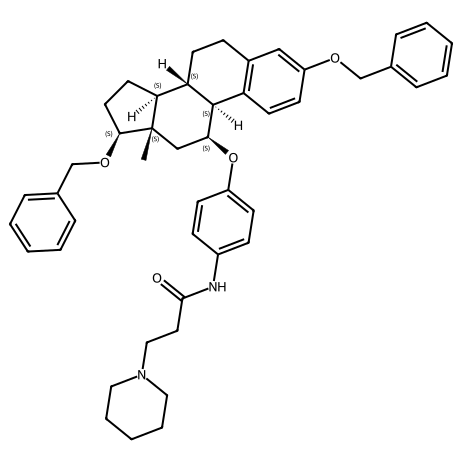 C[C@]12C[C@H](Oc3ccc(NC(=O)CCN4CCCCC4)cc3)[C@@H]3c4ccc(OCc5ccccc5)cc4CC[C@H]3[C@@H]1CC[C@@H]2OCc1ccccc1